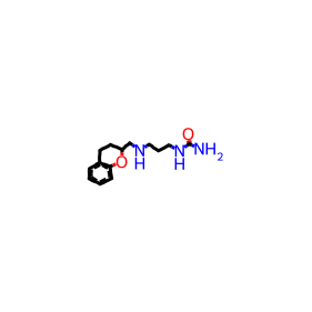 NC(=O)NCCCNCC1CCc2ccccc2O1